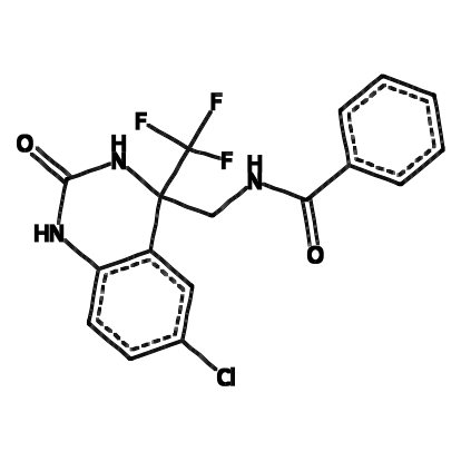 O=C1Nc2ccc(Cl)cc2C(CNC(=O)c2ccccc2)(C(F)(F)F)N1